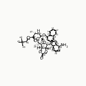 C[C@H](NP(=O)(Oc1cccc2ccccc12)O[C@@H](C)[C@H]1O[C@@H](n2cnc3c(N)ncnc32)[C@@H]2OC(=O)O[C@@H]21)C(=O)OCC(C)(C)C